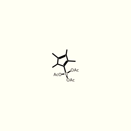 CC(=O)[O][Ti]([O]C(C)=O)([O]C(C)=O)[C]1=C(C)C(C)=C(C)C1C